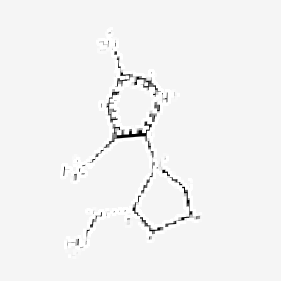 Cc1cc(C(C)(C)C)cnc1N1CCC[C@@H]1CO